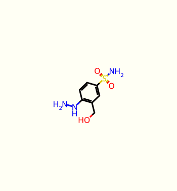 NNc1ccc(S(N)(=O)=O)cc1CO